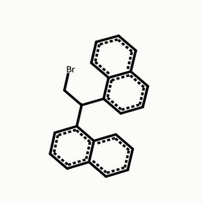 BrC[C](c1cccc2ccccc12)c1cccc2ccccc12